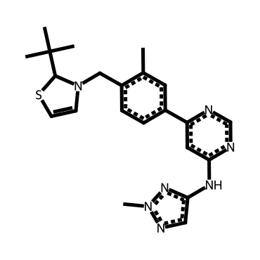 Cc1cc(-c2cc(Nc3cnn(C)n3)ncn2)ccc1CN1C=CSC1C(C)(C)C